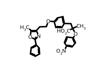 Cc1oc(-c2ccccc2)nc1CCOc1ccc(CC(C)(Oc2ccc([N+](=O)[O-])cc2)C(=O)O)cc1